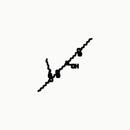 CCCCCC/C=C/COC(CCC(=O)OCCCCCCN(CCO)CCCCCCCC(=O)OCCCCCCCCC)OC/C=C/CCCCCC